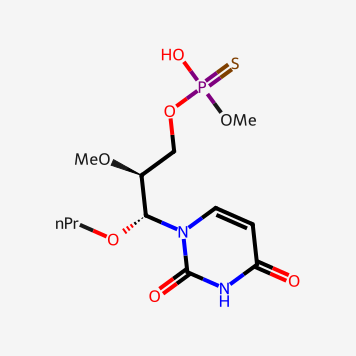 CCCO[C@H]([C@H](COP(O)(=S)OC)OC)n1ccc(=O)[nH]c1=O